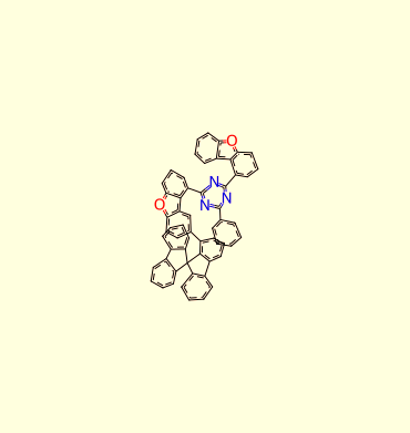 c1ccc(-c2nc(-c3cccc4oc5ccccc5c34)nc(-c3cccc4oc5ccc(-c6cccc7c6C6(c8ccccc8-c8ccccc86)c6ccccc6-7)cc5c34)n2)cc1